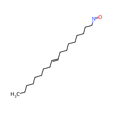 CCCCCCCC/C=C/CCCCCCCCN=O